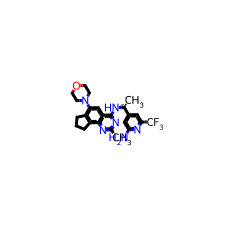 Cc1nc(N[C@H](C)c2cc(N)nc(C(F)(F)F)c2)c2cc(N3CCOCC3)c3c(c2n1)CCC3